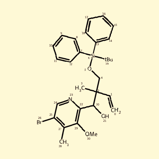 C=CC(C)(CO[Si](c1ccccc1)(c1ccccc1)C(C)(C)C)C(O)c1ncc(Br)c(C)c1OC